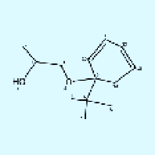 CC(O)COC1(C(C)(C)C)C=CC=CC1